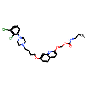 CCCNC(=O)OCOc1ccc2ccc(OCCCCN3CCN(c4cccc(Cl)c4Cl)CC3)cc2n1